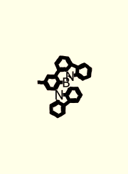 Cc1cc2c3c(c1)-n1c4ccccc4c4cccc(c41)B3n1c3ccccc3c3cccc-2c31